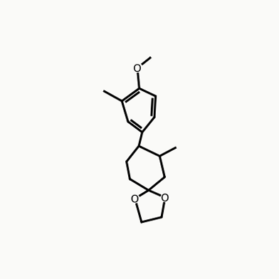 COc1ccc(C2CCC3(CC2C)OCCO3)cc1C